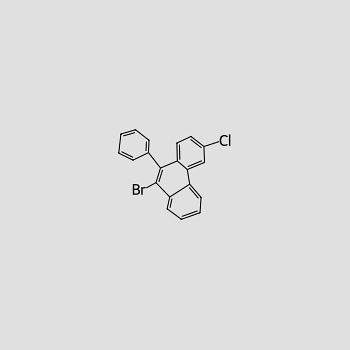 Clc1ccc2c(-c3ccccc3)c(Br)c3ccccc3c2c1